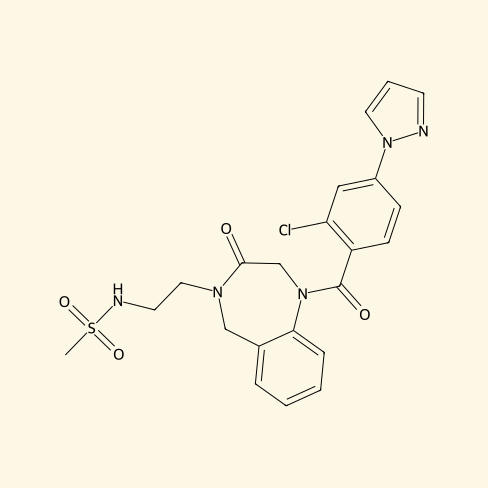 CS(=O)(=O)NCCN1Cc2ccccc2N(C(=O)c2ccc(-n3cccn3)cc2Cl)CC1=O